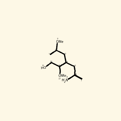 COC(C)CC(CC(C)N)C(CO)OC